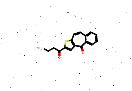 CCOC(=O)CCC(=O)c1cc2c(=O)c3ccccc3ccc2s1